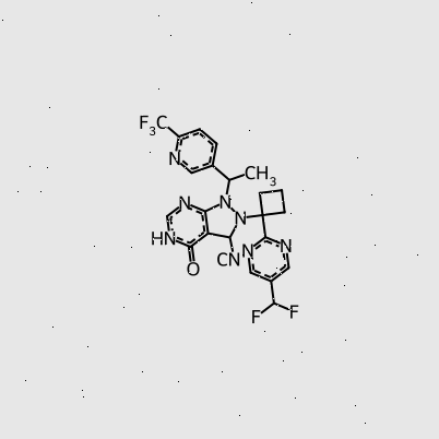 CC(c1ccc(C(F)(F)F)nc1)N1c2nc[nH]c(=O)c2C(C#N)N1C1(c2ncc(C(F)F)cn2)CCC1